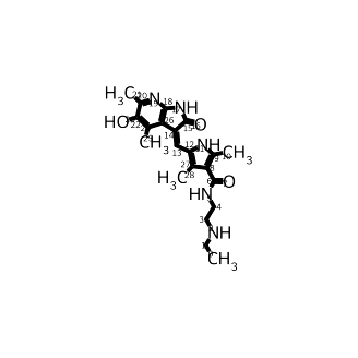 CCNCCNC(=O)c1c(C)[nH]c(C=C2C(=O)Nc3nc(C)c(O)c(C)c32)c1C